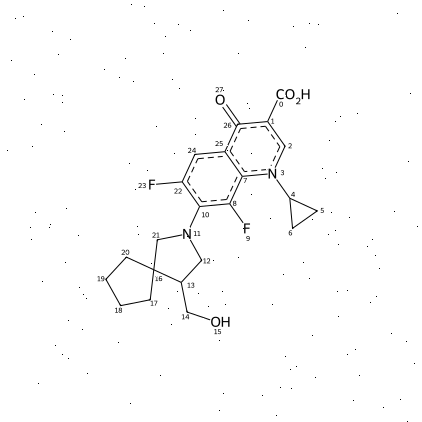 O=C(O)c1cn(C2CC2)c2c(F)c(N3CC(CO)C4(CCCC4)C3)c(F)cc2c1=O